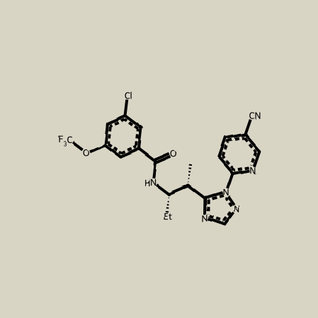 CC[C@H](NC(=O)c1cc(Cl)cc(OC(F)(F)F)c1)[C@H](C)c1ncnn1-c1ccc(C#N)cn1